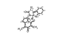 CC(=O)N(n1cnc2c1c(=O)n(C)c(=O)n2C)C1(N)N=c2ccccc2=N1